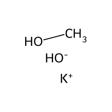 CO.[K+].[OH-]